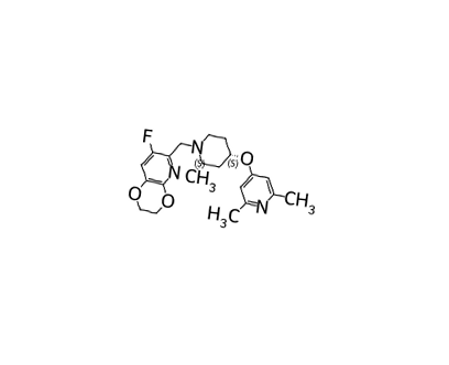 Cc1cc(O[C@H]2CCN(Cc3nc4c(cc3F)OCCO4)[C@@H](C)C2)cc(C)n1